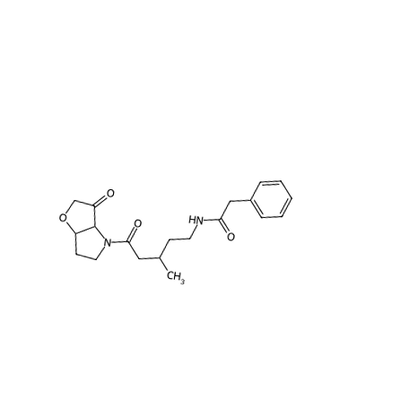 CC(CCNC(=O)Cc1ccccc1)CC(=O)N1CCC2OCC(=O)C21